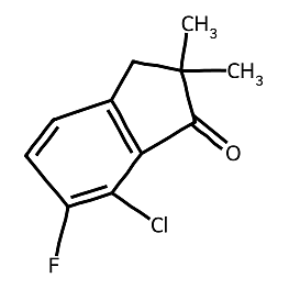 CC1(C)Cc2ccc(F)c(Cl)c2C1=O